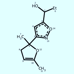 CCC(O)c1cc(C2(C)CC=C(C)O2)no1